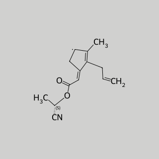 C=CCC1=C(C)[CH]CC1=CC(=O)O[C@@H](C)C#N